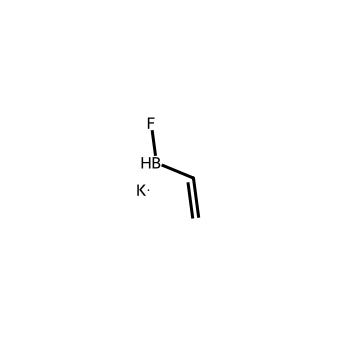 C=CBF.[K]